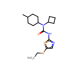 CCOC(=O)CSc1cnc(NC(=O)N(C2CCC2)C2CCC(C)CC2)s1